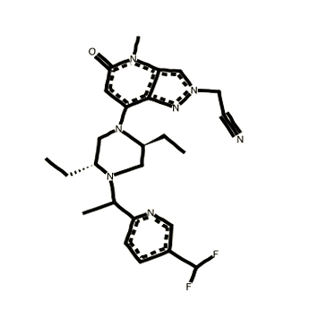 CC[C@H]1CN(C(C)c2ccc(C(F)F)cn2)[C@H](CC)CN1c1cc(=O)n(C)c2cn(CC#N)nc12